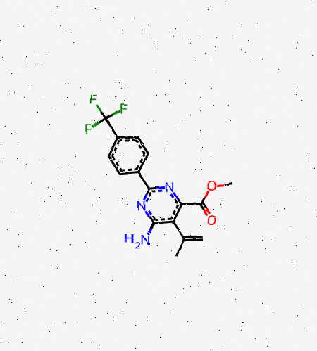 C=C(C)c1c(N)nc(-c2ccc(C(F)(F)F)cc2)nc1C(=O)OC